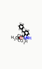 CC(C)(OCc1n[nH]c2cccc(Cc3ccccc3)c12)C(=O)O